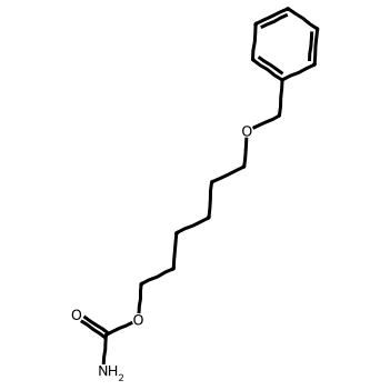 NC(=O)OCCCCCCOCc1ccccc1